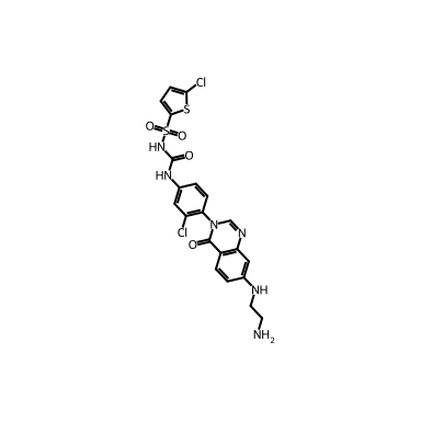 NCCNc1ccc2c(=O)n(-c3ccc(NC(=O)NS(=O)(=O)c4ccc(Cl)s4)cc3Cl)cnc2c1